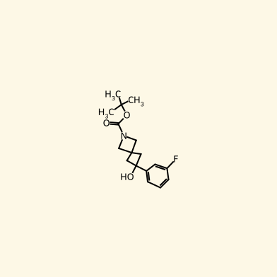 CC(C)(C)OC(=O)N1CC2(C1)CC(O)(c1cccc(F)c1)C2